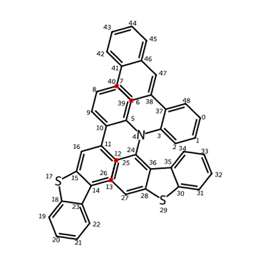 c1ccc(N(c2ccccc2-c2ccc3c(c2)sc2ccccc23)c2cccc3sc4ccccc4c23)c(-c2ccc3ccccc3c2)c1